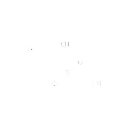 CCS(=O)(=O)C(C)C[O]